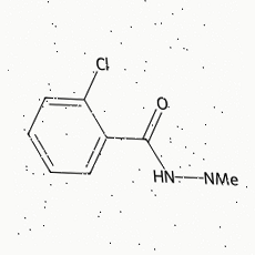 CNNC(=O)c1ccccc1Cl